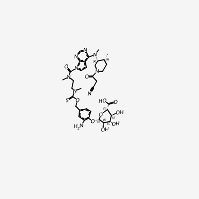 C[C@@H]1CCN(C(=O)CC#N)C[C@@H]1N(C)c1ncnc2c1ccn2C(=O)N(C)CCN(C)C(=S)OCc1ccc(O[C@@H]2O[C@H](C(=O)O)[C@@H](O)[C@H](O)[C@H]2O)c(N)c1